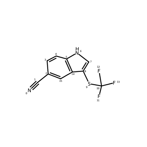 N#Cc1ccc2[nH]cc(SC(F)(F)F)c2c1